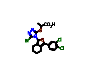 CC(Sc1nnc(Br)n1-c1sc(-c2ccc(Cl)c(Cl)c2)c2c1CCCC2)C(=O)O